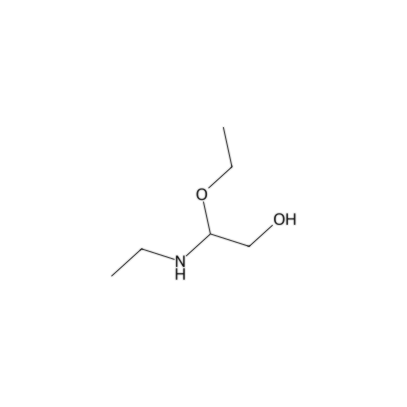 CCNC(CO)OCC